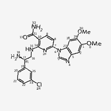 COc1cc2ncn(-c3ccc(C(N)=O)c(NC[C@H](N)c4cccc(Cl)c4)n3)c2cc1OC